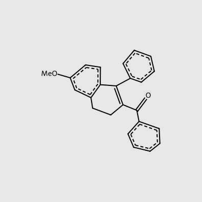 COc1ccc2c(c1)CCC(C(=O)c1ccccc1)=C2c1ccccc1